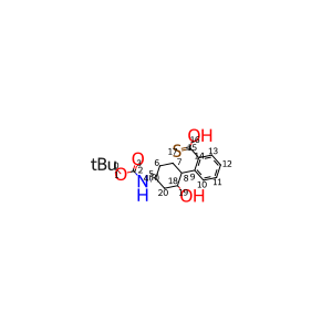 CC(C)(C)OC(=O)N[C@@H]1CCC(c2ccccc2C(O)=S)C(O)C1